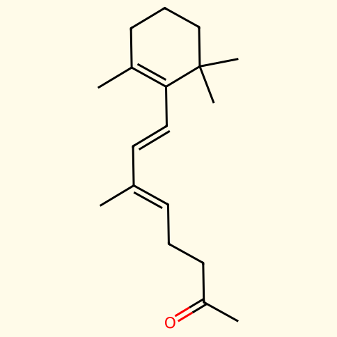 CC(=O)CCC=C(C)C=CC1=C(C)CCCC1(C)C